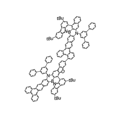 CC(C)(C)c1ccc2c(c1)c1cc(C(C)(C)C)cc3c1n2B1c2cc4cc5c6ccccc6c6c(-c7ccc8c(c7)oc7c9c%10c(cc78)N(c7cc(-c8ccccc8)cc(-c8ccccc8)c7)c7cc8cc%11c%12ccccc%12c%12ccccc%12c%11cc8cc7B%10n7c8ccc(C(C)(C)C)cc8c8cc(C(C)(C)C)cc-9c87)cccc6c5cc4cc2N(c2cc(-c4ccccc4)cc(-c4ccccc4)c2)c2cc4ccccc4c-3c21